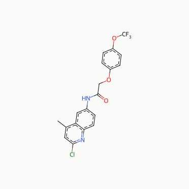 Cc1cc(Cl)nc2ccc(NC(=O)COc3ccc(OC(F)(F)F)cc3)cc12